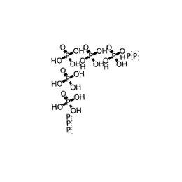 O=P(O)(O)O.O=P(O)(O)O.O=P(O)(O)O.O=P(O)(O)O.O=P(O)(O)O.[P].[P].[P].[P].[P]